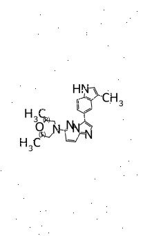 Cc1c[nH]c2ccc(-c3cnc4ccc(N5C[C@@H](C)O[C@@H](C)C5)nn34)cc12